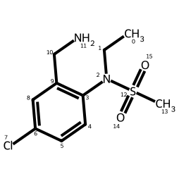 CCN(c1ccc(Cl)cc1CN)S(C)(=O)=O